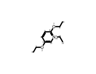 CCOc1ccc(OCC)[n+](CC)c1